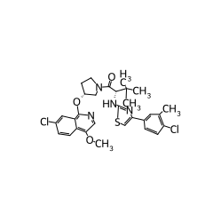 COc1cnc(O[C@@H]2CCN(C(=O)[C@@H](Nc3nc(-c4ccc(Cl)c(C)c4)cs3)C(C)(C)C)C2)c2cc(Cl)ccc12